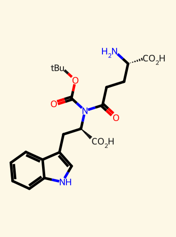 CC(C)(C)OC(=O)N(C(=O)CC[C@H](N)C(=O)O)[C@H](Cc1c[nH]c2ccccc12)C(=O)O